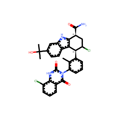 Cc1c([C@H]2c3c([nH]c4cc(C(C)(C)O)ccc34)[C@@H](C(N)=O)CC2Cl)cccc1-n1c(=O)[nH]c2c(Cl)cccc2c1=O